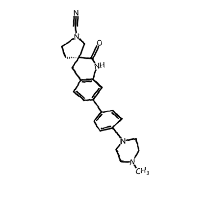 CN1CCN(c2ccc(-c3ccc4c(c3)NC(=O)[C@@]3(CCN(C#N)C3)C4)cc2)CC1